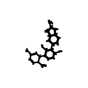 COC1C=CC(Cl)=CN1c1ccc(F)c(-c2ncc3nc(N)[nH]c3n2)c1F